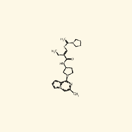 C=C(S/C=C(\CC)C(=O)NC1CCN(c2nc(C)cn3cccc23)C1)N1CCCC1